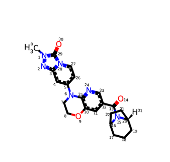 Cn1nc2cc(N3CCOc4cc(C(=O)N5C6CCC[C@H]5CC6)cnc43)ccn2c1=O